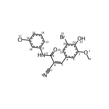 COc1cc(C=C(C#N)C(=O)Nc2cccc(Cl)c2)cc(Br)c1O